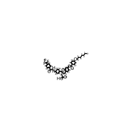 CCCCCCCOc1ccc(C(=O)Oc2ccc(CN(CC(=O)O)C(=O)c3ccc(NCC(=O)c4ccc(C(F)(F)F)cc4)cc3)cc2)cc1